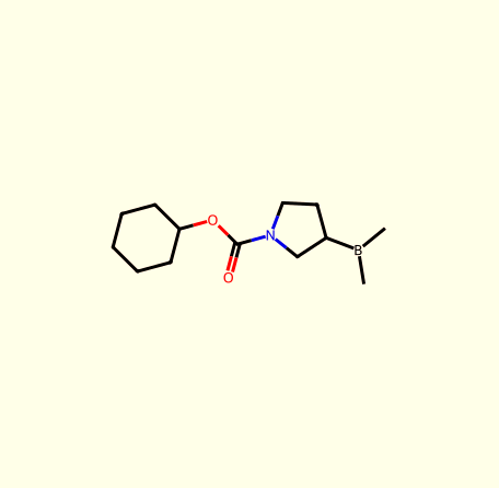 CB(C)C1CCN(C(=O)OC2CCCCC2)C1